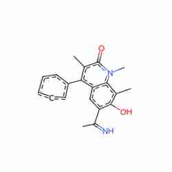 CC(=N)c1cc2c(-c3ccccc3)c(C)c(=O)n(C)c2c(C)c1O